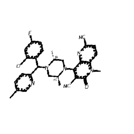 Cc1ccc(C(c2ccc(F)cc2Cl)N2C[C@H](C)N(c3c(C#N)c(=O)n(C)c4ccc(C#N)nc34)C[C@H]2C)nc1